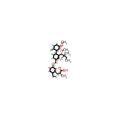 CCC(C)(C)[C@@H](OC)c1cc(COc2ccc3c(c2)[C@H]([C@H](C)C(=O)O)CC3)ccc1-c1cc(OC)ccc1F